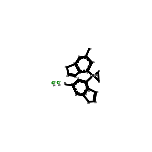 Cc1cc2c([c]([Zr+2]3([c]4cc(C)cc5c4C=CC5)[CH2][CH2]3)c1)C=CC2.[Cl-].[Cl-]